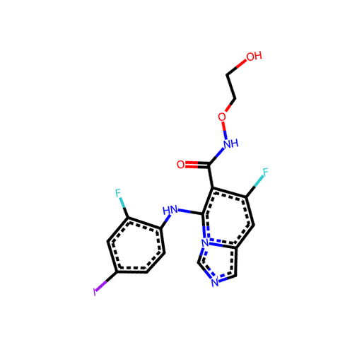 O=C(NOCCO)c1c(F)cc2cncn2c1Nc1ccc(I)cc1F